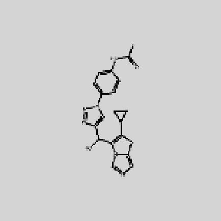 CC(=O)Nc1ccc(-n2cc(C(O)c3c(C4CC4)sc4cncn34)nn2)cc1